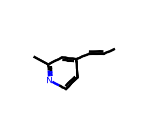 CC=Cc1ccnc(C)c1